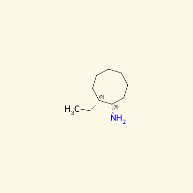 CC[C@@H]1CCCCCC[C@@H]1N